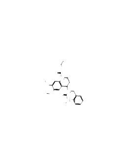 CCOC(=O)N1c2cc(OC)c(OC)cc2[C@@H](N(Cc2ccccc2)C(=S)NC)C[C@H]1C